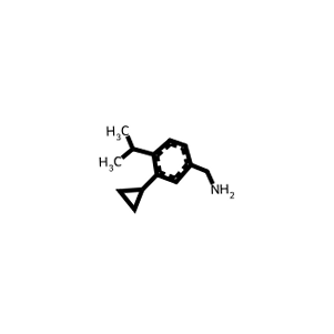 CC(C)c1ccc(CN)cc1C1CC1